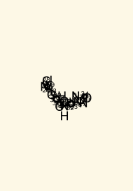 NC1c2ccoc2N=CN1c1ccc(NS(=O)(=O)c2ccc(OCc3cnc(Cl)s3)cc2)cc1